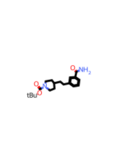 CC(C)(C)OC(=O)N1CCC(CCc2cccc(C(N)=O)c2)CC1